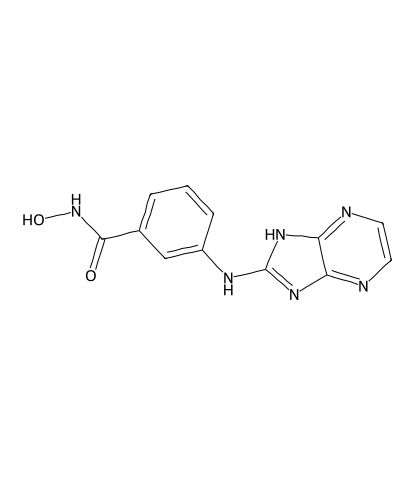 O=C(NO)c1cccc(Nc2nc3nccnc3[nH]2)c1